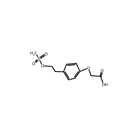 CS(=O)(=O)OCCc1ccc(OCC(=O)O)cc1